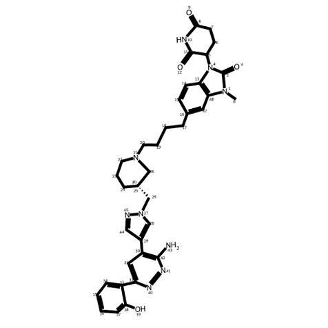 Cn1c(=O)n(C2CCC(=O)NC2=O)c2ccc(CCCCN3CCC[C@@H](Cn4cc(-c5cc(-c6ccccc6O)nnc5N)cn4)C3)cc21